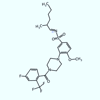 CCCCC(C)/C=N/S(=O)(=O)c1ccc(OC)c(N2CCN(C(=O)c3ccc(F)cc3C(F)(F)F)CC2)c1